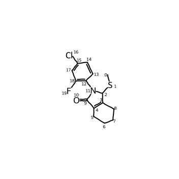 CSC1C2=C(CCCC2)C(=O)N1c1ccc(Cl)cc1F